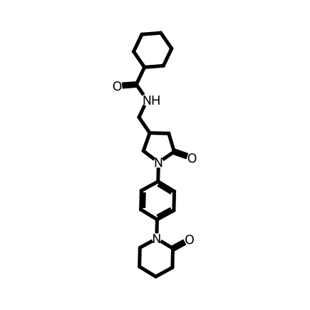 O=C(NCC1CC(=O)N(c2ccc(N3CCCCC3=O)cc2)C1)C1CCCCC1